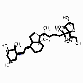 C=C1/C(=C\C=C2CCC[C@@]3(C)C2CC[C@@H]3[C@H](C)CCCC(C)(C)C2([C@H](O)CO)OC[C@@H](O)[C@H]2O)C[C@@H](O)C[C@H]1O